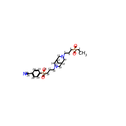 CCS(=O)(=O)CCCN1CC2CC(C1)CN(CCCS(=O)(=O)c1ccc(C#N)cc1)C2